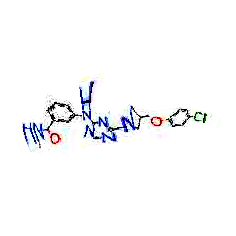 CNC(=O)c1cccc(Nc2ncnc(N3CC(COc4ccc(Cl)cc4)C3)n2)c1